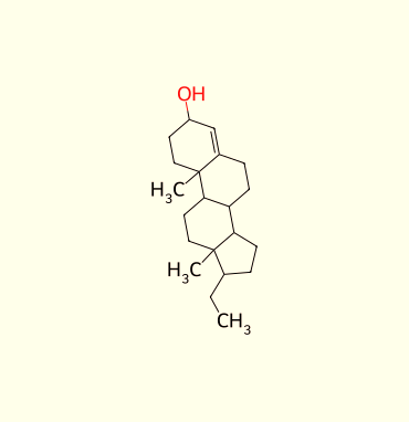 CCC1CCC2C3CCC4=CC(O)CCC4(C)C3CCC12C